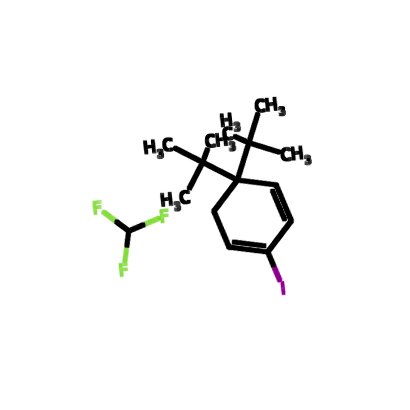 CC(C)(C)C1(C(C)(C)C)C=CC(I)=CC1.FC(F)F